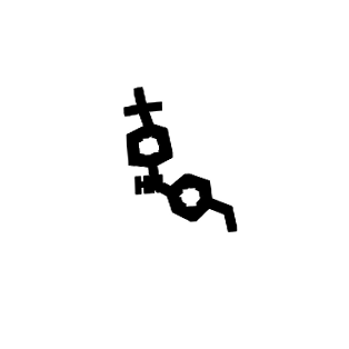 CCc1ccc(Nc2ccc(C(C)(C)C)cc2)cc1